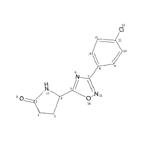 O=C1CCC(c2nc(-c3ccc(Cl)cc3)no2)N1